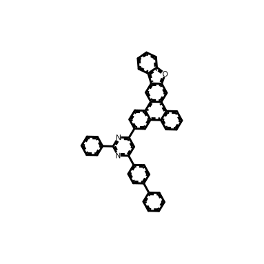 c1ccc(-c2ccc(-c3cc(-c4ccc5c(c4)c4ccccc4c4cc6oc7ccccc7c6cc54)nc(-c4ccccc4)n3)cc2)cc1